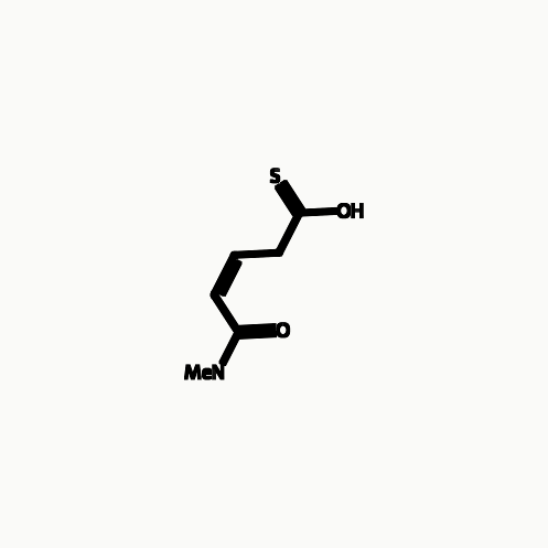 CNC(=O)/C=C\CC(O)=S